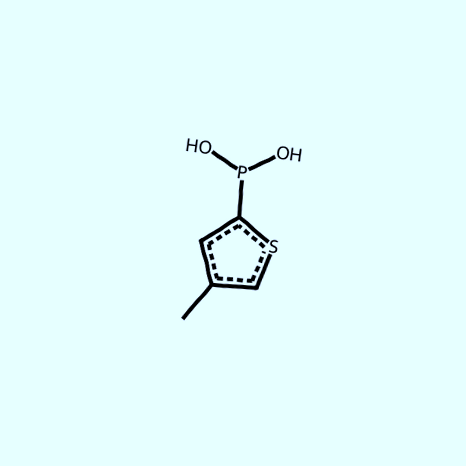 Cc1csc(P(O)O)c1